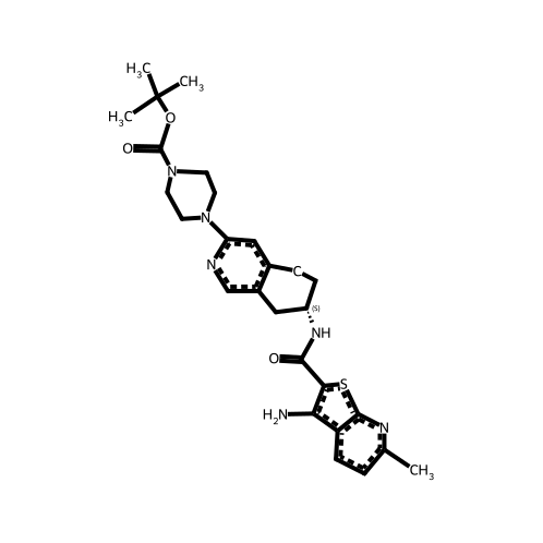 Cc1ccc2c(N)c(C(=O)N[C@H]3CCc4cc(N5CCN(C(=O)OC(C)(C)C)CC5)ncc4C3)sc2n1